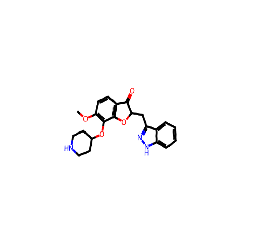 COc1ccc2c(c1OC1CCNCC1)OC(Cc1n[nH]c3ccccc13)C2=O